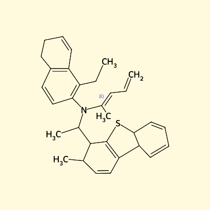 C=C/C=C(\C)N(c1ccc2c(c1CC)C=CCC2)C(C)C1C2=C(C=CC1C)C1C=CC=CC1S2